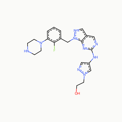 OCCn1cc(Nc2ncc3cnn(Cc4cccc(N5CCNCC5)c4F)c3n2)cn1